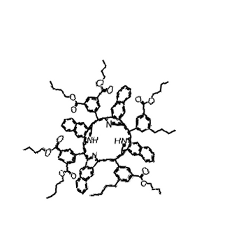 CCCCOC(=O)c1cc(CCCC)cc(-c2c3nc(c(-c4cc(C(=O)OCCCC)cc(C(=O)OCCCC)c4)c4[nH]c(c(-c5cc(C(=O)OCCCC)cc(C(=O)OCCCC)c5)c5nc(c(-c6cc(CCCC)cc(C(=O)OCCCC)c6)c6[nH]c2c2cc7ccccc7cc62)-c2cc6ccccc6cc2-5)c2cc5ccccc5cc42)-c2cc4ccccc4cc2-3)c1